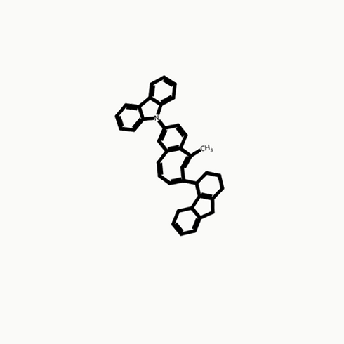 C\C1=C/C(C2CCCC3=C2C2CC=CC=C2C3)=C\C=C/c2cc(-n3c4ccccc4c4ccccc43)ccc21